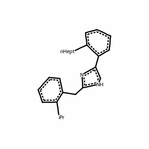 CCCCCCCc1ccccc1-c1c[nH]c(Cc2ccccc2C(C)C)n1